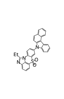 CCc1nc2cccc3c2n1-c1ccc(-n2c4ccccc4c4c5ccccc5ccc42)cc1S3(=O)=O